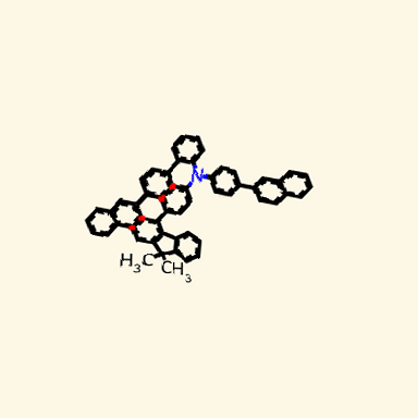 CC1(C)c2ccccc2-c2c(-c3ccc(N(c4ccc(-c5ccc6ccccc6c5)cc4)c4ccccc4-c4ccc(-c5ccc6ccccc6c5)cc4)cc3)cccc21